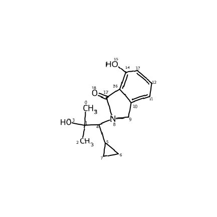 CC(C)(O)C(C1CC1)N1Cc2cccc(O)c2C1=O